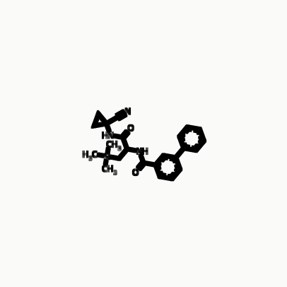 C[Si](C)(C)CC(NC(=O)c1cccc(-c2ccccc2)c1)C(=O)NC1(C#N)CC1